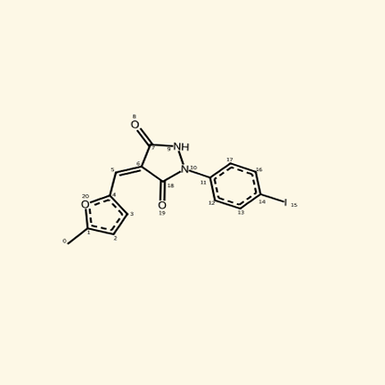 Cc1ccc(/C=C2/C(=O)NN(c3ccc(I)cc3)C2=O)o1